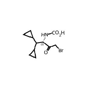 O=C(O)N[C@H](C(=O)CBr)C(C1CC1)C1CC1